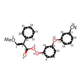 COC=C(C(=O)OOc1cccc(Oc2cccc(C#N)c2)c1)c1ccccc1